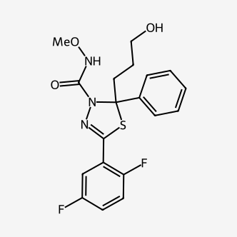 CONC(=O)N1N=C(c2cc(F)ccc2F)SC1(CCCO)c1ccccc1